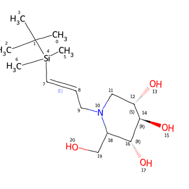 CC(C)(C)[Si](C)(C)/C=C/CN1C[C@H](O)[C@@H](O)[C@H](O)C1CO